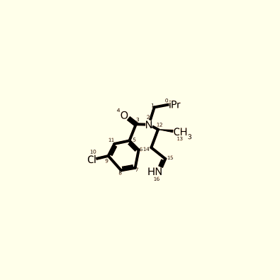 CC(C)CN(C(=O)c1cccc(Cl)c1)[C@@H](C)CC=N